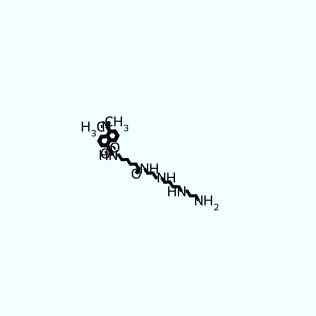 CN(C)c1cccc2c(S(=O)(=O)NCCCCCC(=O)NCCCNCCCCNCCCN)cccc12